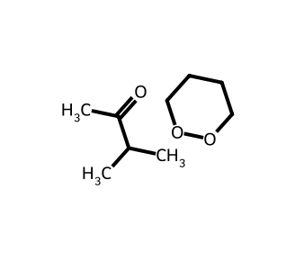 C1CCOOC1.CC(=O)C(C)C